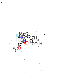 COc1ccc(-c2ccc(C(=O)O)cc2C)cc1-c1ccc(N2CC(F)(F)C2)nc1CN1C(=O)OC(c2cccc(OC(F)(F)F)c2)[C@@H]1C